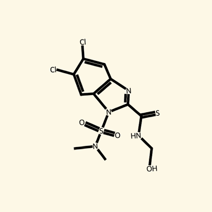 CN(C)S(=O)(=O)n1c(C(=S)NCO)nc2cc(Cl)c(Cl)cc21